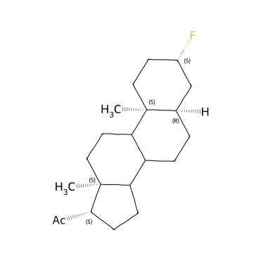 CC(=O)[C@H]1CCC2C3CC[C@@H]4C[C@@H](F)CC[C@]4(C)C3CC[C@@]21C